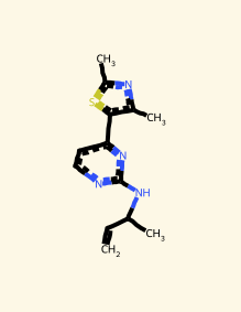 C=CC(C)Nc1nccc(-c2sc(C)nc2C)n1